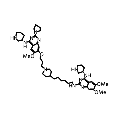 COc1cc2nc(NCCCCCCC3CCN(CCCOc4cc5nc(N6CCCC6)nc(N[C@H]6CCCNC6)c5cc4OC)CC3)nc(N[C@H]3CCCNC3)c2cc1OC